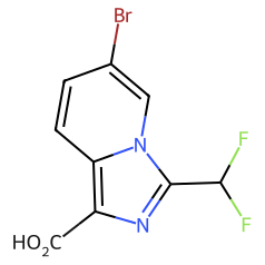 O=C(O)c1nc(C(F)F)n2cc(Br)ccc12